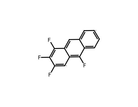 Fc1[c]c2c(F)c3cc[c]cc3cc2c(F)c1F